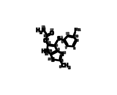 Cc1nc2c(Sc3cccc(F)c3)c(OC(N)=O)[nH]c2s1